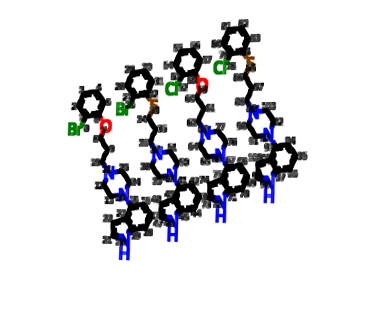 Brc1ccccc1OCCCN1CCN(c2cccc3[nH]ccc23)CC1.Brc1ccccc1SCCCN1CCN(c2cccc3[nH]ccc23)CC1.Clc1ccccc1OCCCN1CCN(c2cccc3[nH]ccc23)CC1.Clc1ccccc1SCCCN1CCN(c2cccc3[nH]ccc23)CC1